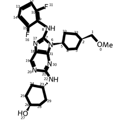 COC[C@H]1CC[C@@H](n2c(Nc3c(F)cccc3F)nc3cnc(N[C@H]4CC[C@H](O)CC4)nc32)CC1